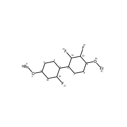 CCCCOC1CCC(C2CCC(OCC)C(F)C2F)C(F)C1